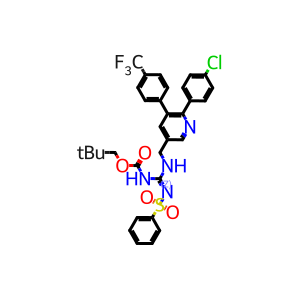 CC(C)(C)COC(=O)N/C(=N\S(=O)(=O)c1ccccc1)NCc1cnc(-c2ccc(Cl)cc2)c(-c2ccc(C(F)(F)F)cc2)c1